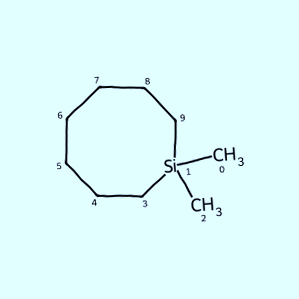 C[Si]1(C)CCCCCCC1